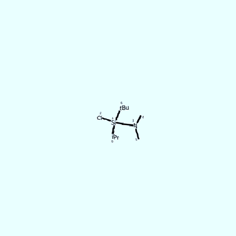 CC(C)[Si](Cl)(N(C)C)C(C)(C)C